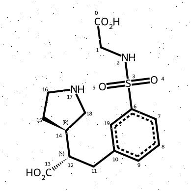 O=C(O)CNS(=O)(=O)c1cccc(C[C@H](C(=O)O)[C@H]2CCNC2)c1